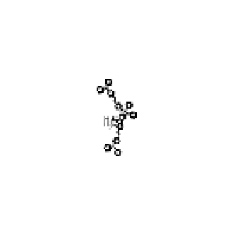 CC1(C)c2cc(/C=C/c3ccc(N(c4ccccc4)c4ccccc4)cc3)ccc2-c2cc3c(-c4ccccc4)c(-c4ccccc4)n(-c4ccc(/C=C/c5ccc(N(c6ccccc6)c6ccccc6)cc5)cc4)c3cc21